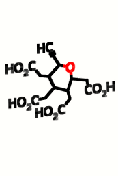 C#CC1OC(CC(=O)O)C(CC(=O)O)C(CC(=O)O)C1CC(=O)O